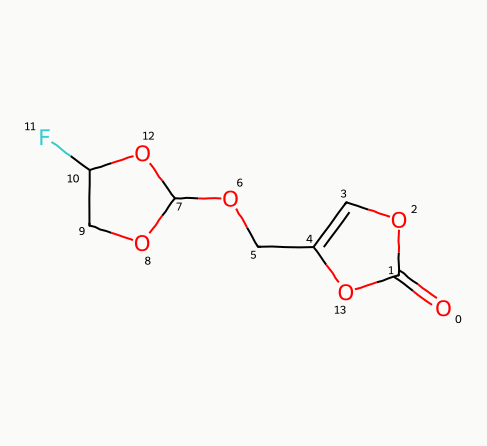 O=c1occ(COC2OCC(F)O2)o1